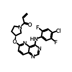 C=CC(=O)N1CC[C@H](Oc2ccc3ncnc(Nc4cc(F)c(Cl)cc4F)c3n2)C1